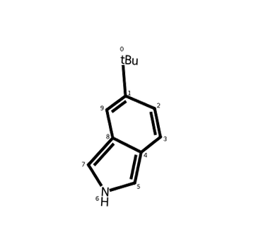 CC(C)(C)c1ccc2c[nH]cc2c1